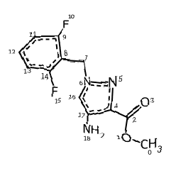 COC(=O)c1nn(Cc2c(F)cccc2F)cc1N